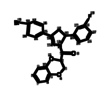 O=C(C1COc2ccccc2O1)N1N=C(c2ccc(Br)cc2)CC1c1cccc(F)c1